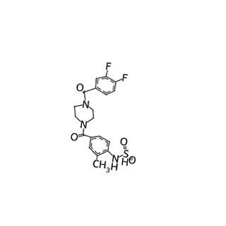 Cc1cc(C(=O)N2CCN(C(=O)c3ccc(F)c(F)c3)CC2)ccc1N[SH](=O)=O